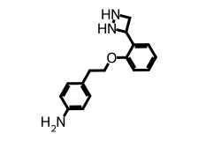 Nc1ccc(CCOc2ccccc2C2CNN2)cc1